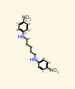 O=[N+]([O-])c1ccc(NCCCCCNc2ccc([N+](=O)[O-])cc2)cc1